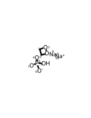 C1COO1.O=P([O-])([O-])O.[Na+].[Na+]